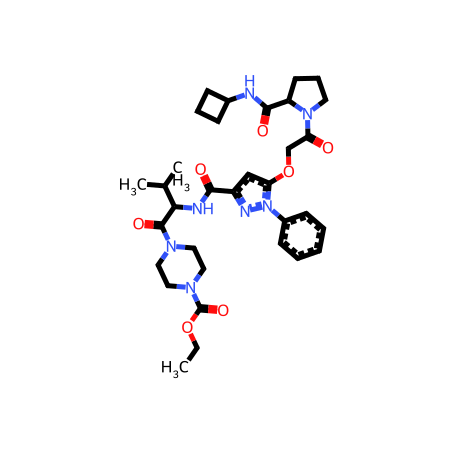 CCOC(=O)N1CCN(C(=O)C(NC(=O)c2cc(OCC(=O)N3CCCC3C(=O)NC3CCC3)n(-c3ccccc3)n2)C(C)C)CC1